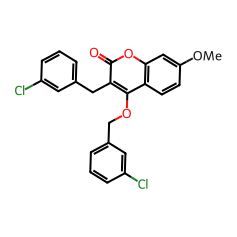 COc1ccc2c(OCc3cccc(Cl)c3)c(Cc3cccc(Cl)c3)c(=O)oc2c1